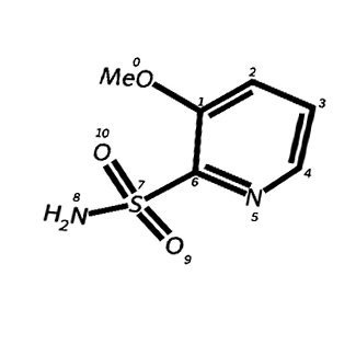 COc1cccnc1S(N)(=O)=O